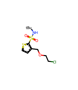 CC(C)(C)NS(=O)(=O)c1sccc1COCCCl